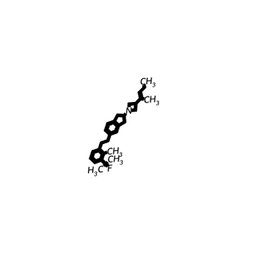 CC/C=C(\C)C1CN(C2Cc3ccc(CCc4cccc(C(C)(C)F)c4C)cc3C2)C1